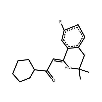 CC1(C)Cc2ccc(F)cc2C(=CC(=O)C2CCCCC2)N1